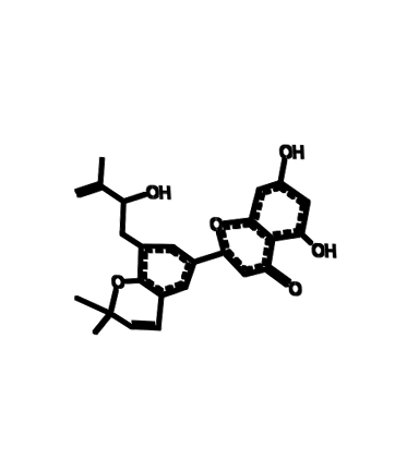 C=C(C)C(O)Cc1cc(-c2cc(=O)c3c(O)cc(O)cc3o2)cc2c1OC(C)(C)C=C2